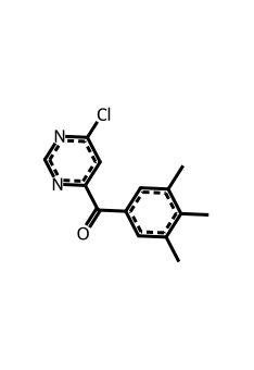 Cc1cc(C(=O)c2cc(Cl)ncn2)cc(C)c1C